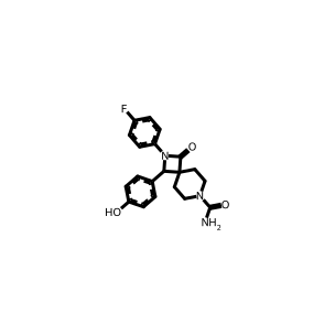 NC(=O)N1CCC2(CC1)C(=O)N(c1ccc(F)cc1)C2c1ccc(O)cc1